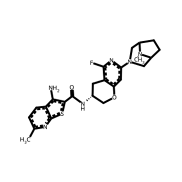 Cc1ccc2c(N)c(C(=O)N[C@H]3COc4cc(N5CC6CCC(C5)N6C)nc(F)c4C3)sc2n1